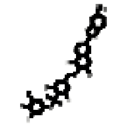 Cc1ccc2nc(-c3ccc4c(F)c(OCc5cc(F)c(C(F)(F)Oc6cc(F)c(F)c(F)c6)c(F)c5)c(F)cc4c3)sc2c1